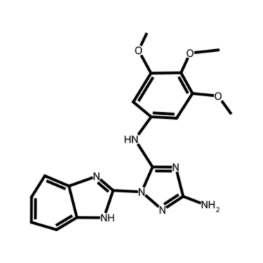 COc1cc(Nc2nc(N)nn2-c2nc3ccccc3[nH]2)cc(OC)c1OC